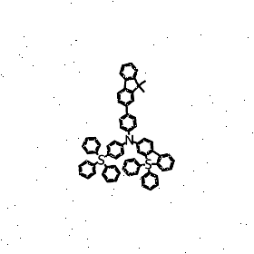 CC1(C)c2ccccc2-c2ccc(-c3ccc(N(c4ccc(S(c5ccccc5)(c5ccccc5)c5ccccc5)cc4)c4ccc5c(c4)S(c4ccccc4)(c4ccccc4)c4ccccc4-5)cc3)cc21